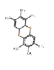 CC1=CC2Sc3c(cc(C)c(C)c3C)SC2C(C)=C1C